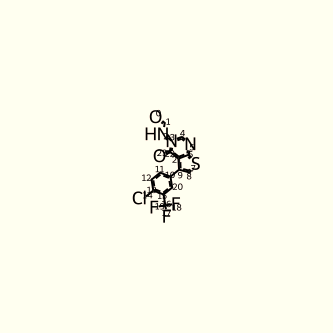 O=CNn1cnc2scc(-c3ccc(Cl)c(C(F)(F)F)c3)c2c1=O